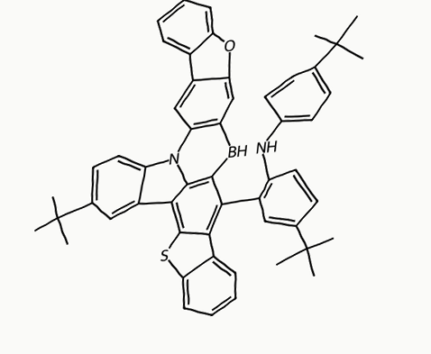 CC(C)(C)c1ccc(Nc2ccc(C(C)(C)C)cc2-c2c3c4c(c5cc(C(C)(C)C)ccc5n4-c4cc5c(cc4B3)oc3ccccc35)c3sc4ccccc4c23)cc1